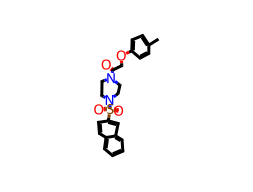 Cc1ccc(OCC(=O)N2CCN(S(=O)(=O)c3ccc4ccccc4c3)CC2)cc1